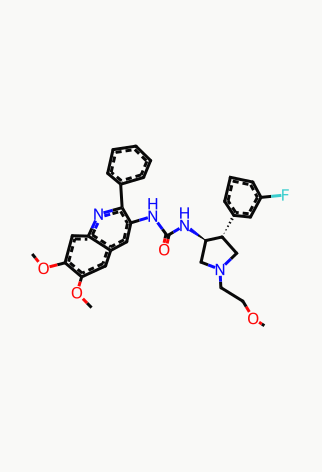 COCCN1C[C@@H](NC(=O)Nc2cc3cc(OC)c(OC)cc3nc2-c2ccccc2)[C@H](c2cccc(F)c2)C1